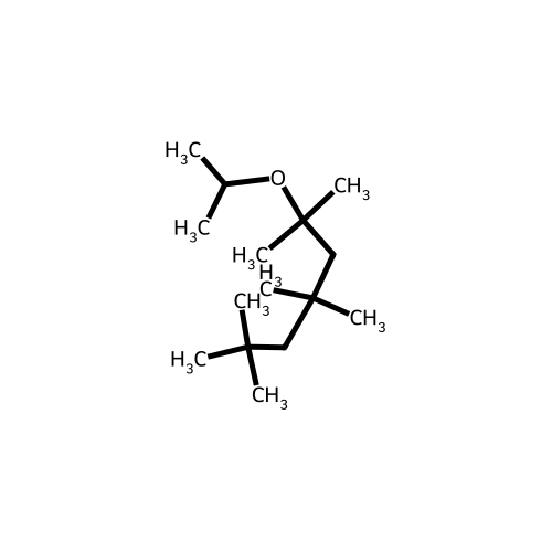 CC(C)OC(C)(C)CC(C)(C)CC(C)(C)C